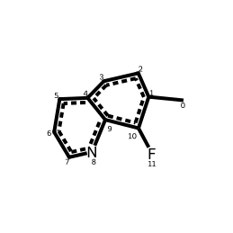 Cc1ccc2cccnc2c1F